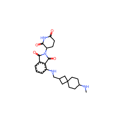 CNC1CCC2(CC1)CC(CNc1cccc3c1C(=O)N(C1CCC(=O)NC1=O)C3=O)C2